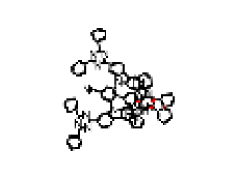 N#Cc1cc(-n2c3cc(-c4nc(-c5ccccc5)nc(-c5ccccc5)n4)ccc3c3ccc(-c4nc(-c5ccccc5)nc(-c5ccccc5)n4)cc32)c(-c2cc(C(F)(F)F)cc(C(F)(F)F)c2)c(-n2c3cc(-c4nc(-c5ccccc5)nc(-c5ccccc5)n4)ccc3c3ccc(-c4nc(-c5ccccc5)nc(-c5ccccc5)n4)cc32)c1